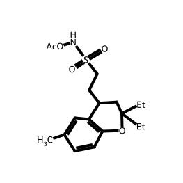 CCC1(CC)CC(CCS(=O)(=O)NOC(C)=O)c2cc(C)ccc2O1